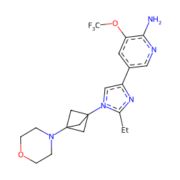 CCc1nc(-c2cnc(N)c(OC(F)(F)F)c2)cn1C12CC(N3CCOCC3)(C1)C2